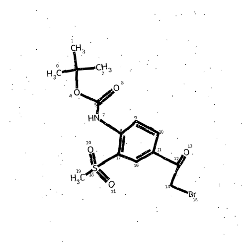 CC(C)(C)OC(=O)Nc1ccc(C(=O)CBr)cc1S(C)(=O)=O